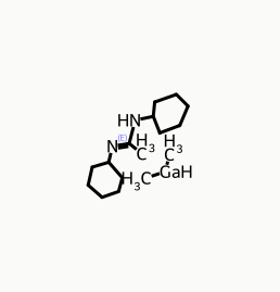 C/C(=N\C1CCCCC1)NC1CCCCC1.[CH3][GaH][CH3]